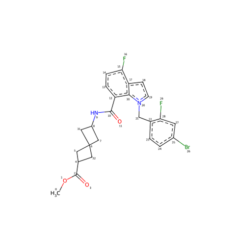 COC(=O)C1CC2(CC(NC(=O)c3ccc(F)c4ccn(Cc5ccc(Br)cc5F)c34)C2)C1